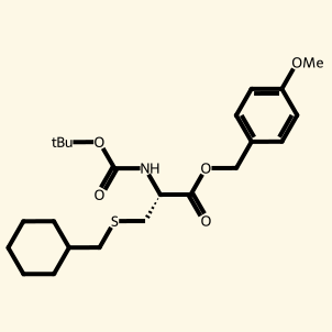 COc1ccc(COC(=O)[C@H](CSCC2CCCCC2)NC(=O)OC(C)(C)C)cc1